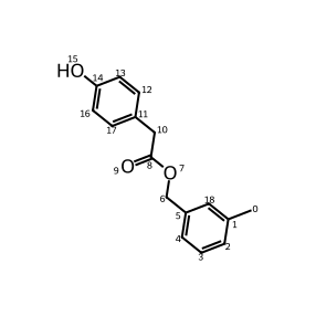 Cc1cccc(COC(=O)Cc2ccc(O)cc2)c1